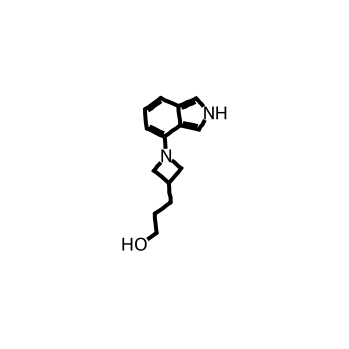 OCCCC1CN(c2cccc3c[nH]cc23)C1